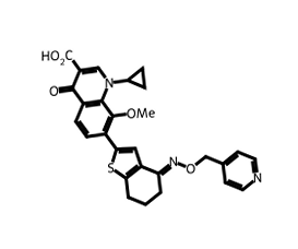 COc1c(-c2cc3c(s2)CCCC3=NOCc2ccncc2)ccc2c(=O)c(C(=O)O)cn(C3CC3)c12